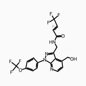 O=C(/C=C/C(F)(F)F)NCc1nn(-c2ccc(OC(F)(F)F)cc2)c2nccc(CO)c12